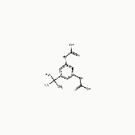 CC(C)(C)c1cc(NC(=O)O)cc(NC(=O)O)c1